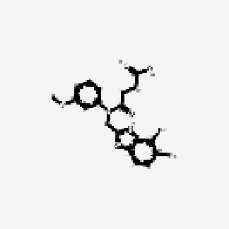 CSc1cccc(N(Cc2nc3c(F)c(F)ccc3s2)C(=O)CCC(=O)O)c1